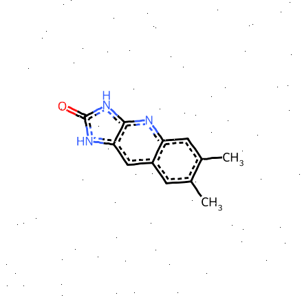 Cc1cc2cc3[nH]c(=O)[nH]c3nc2cc1C